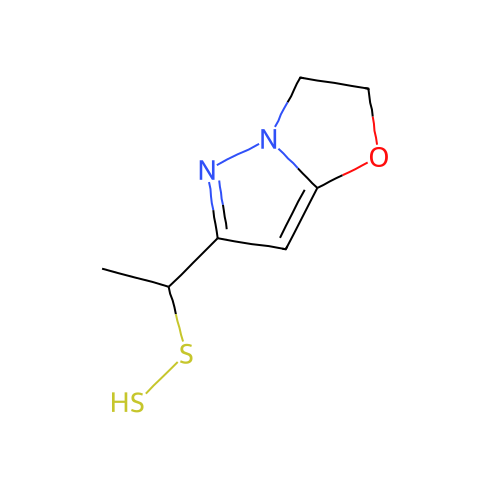 CC(SS)c1cc2n(n1)CCO2